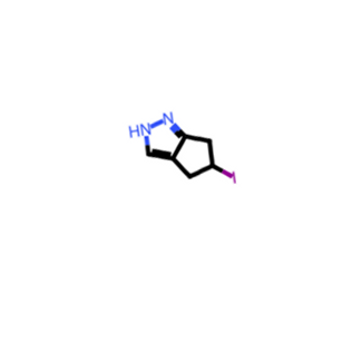 IC1Cc2c[nH]nc2C1